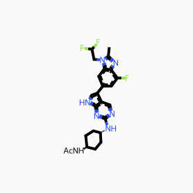 CC(=O)N[C@H]1CC[C@H](Nc2ncc3c(-c4cc(F)c5nc(C)n(CC(F)F)c5c4)c[nH]c3n2)CC1